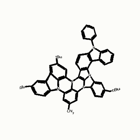 Cc1cc2c3c(c1)-n1c4ccc(C(C)(C)C)cc4n4c5c(ccc6c5c5ccccc5n6-c5ccccc5)c(c14)B3c1cc(C(C)(C)C)cc3c4cc(C(C)(C)C)ccc4n-2c13